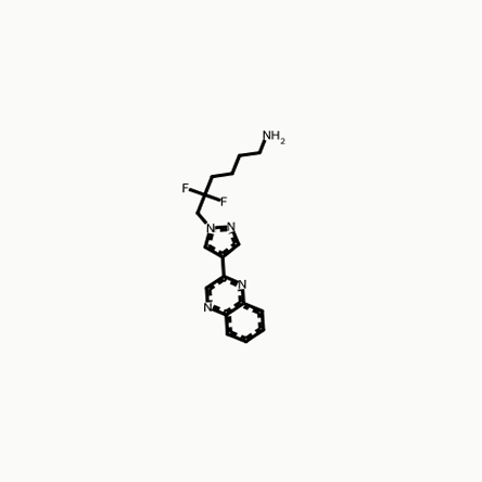 NCCCCC(F)(F)Cn1cc(-c2cnc3ccccc3n2)cn1